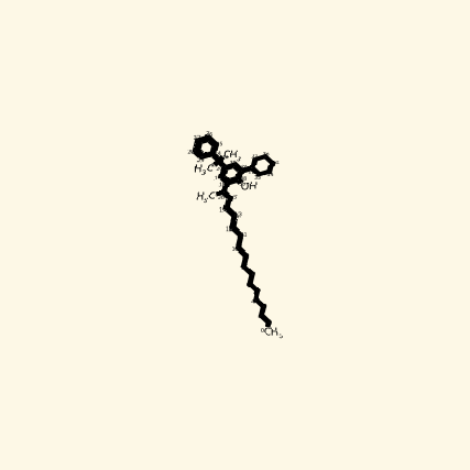 CCCCCCCCCCCCCCCCC(C)c1cc(C(C)(C)c2ccccc2)cc(C2CCCCC2)c1O